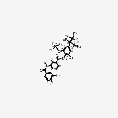 CN(C(=O)c1ccc(F)c(F)c1)c1cccc(C(=O)Nc2c(Br)cc(C(F)(C(F)(F)F)C(F)(F)F)cc2OC(F)(F)F)c1F